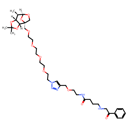 C[C@H]1[C@H]2OC[C@](COCCOCCOCCOCCn3cc(COCCNC(=O)CCCNCC(=O)c4ccccc4)nn3)(O2)[C@@H]2OC(C)(C)O[C@H]12